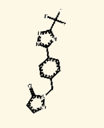 O=c1ccon1Cc1ccc(-c2noc(C(F)(F)F)n2)cc1